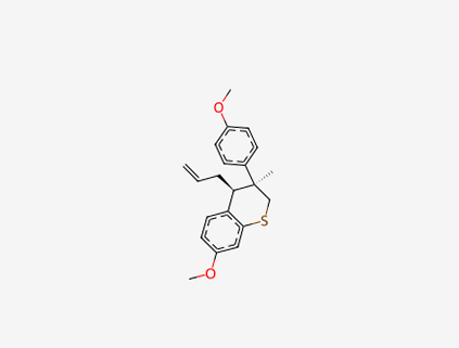 C=CC[C@@H]1c2ccc(OC)cc2SC[C@]1(C)c1ccc(OC)cc1